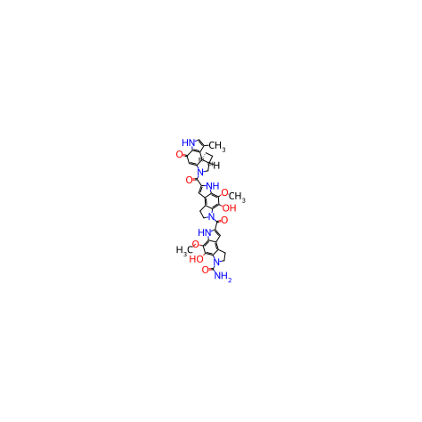 COc1c(O)c2c(c3cc(C(=O)N4CCc5c4c(O)c(OC)c4[nH]c(C(=O)N6C[C@H]7CC[C@@]78C6=CC(=O)c6[nH]cc(C)c68)cc54)[nH]c13)CCN2C(N)=O